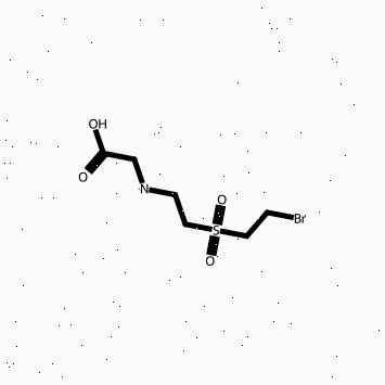 O=C(O)C[N]CCS(=O)(=O)CCBr